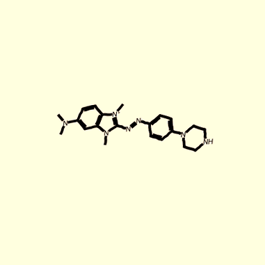 CN(C)c1ccc2c(c1)n(C)c(/N=N/c1ccc(N3CCNCC3)cc1)[n+]2C